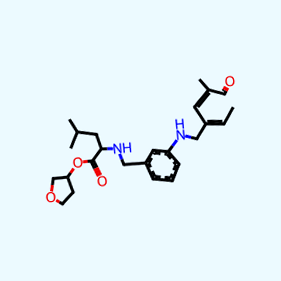 C/C=C(\C=C(\C)C=O)CNc1cccc(CNC(CC(C)C)C(=O)OC2CCOC2)c1